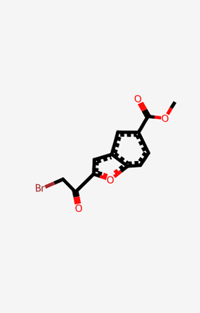 COC(=O)c1ccc2oc(C(=O)CBr)cc2c1